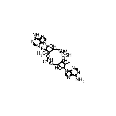 C[C@@]1(F)[C@@H]2O[PH](=O)OC[C@H]3O[C@@H](n4cnc5c(N)ncnc54)[C@H](F)[C@@H]3O[P@](=O)(S)OC[C@H]2O[C@H]1n1cnc2c(N)ncnc21